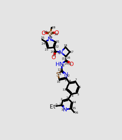 CCc1cc(-c2cccc(-c3csc(NC(=O)[C@@H]4CCN4C(=O)c4cc(C)n(S(C)(=O)=O)c4)n3)c2)cc(C)n1